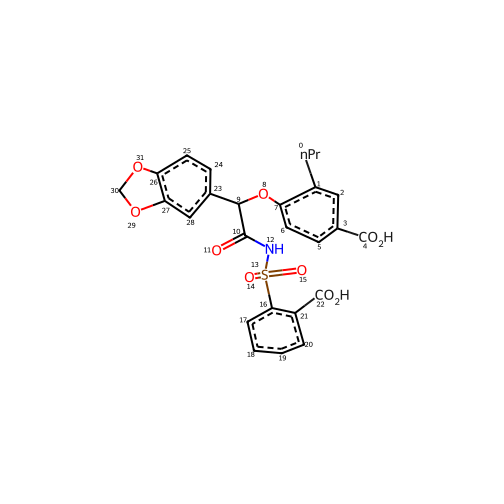 CCCc1cc(C(=O)O)ccc1OC(C(=O)NS(=O)(=O)c1ccccc1C(=O)O)c1ccc2c(c1)OCO2